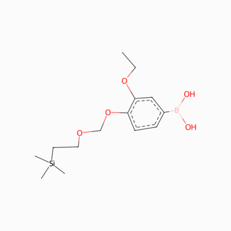 CCOc1cc(B(O)O)ccc1OCOCC[Si](C)(C)C